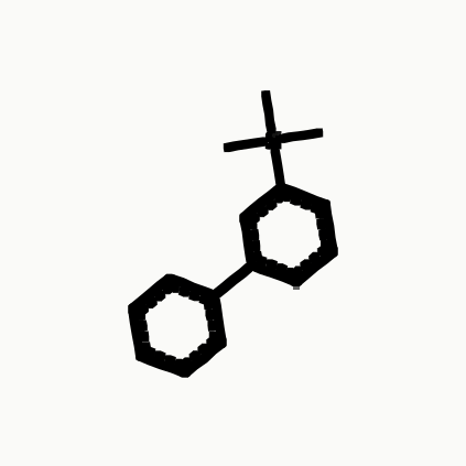 C[Si](C)(C)c1cc[c]c(-c2ccccc2)c1